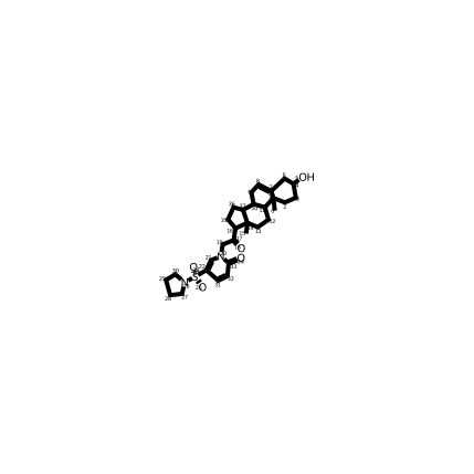 CC12CCC(O)CC1=CCC1C2CCC2(C)C(C(=O)Cn3cc(S(=O)(=O)N4CCCC4)ccc3=O)CCC12